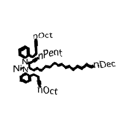 CCCCCC#CC(=Nc1ccccc1CCC#CCCCCCCCC)C(CCCCCCCCCCCCCCCCCCCCCCCCC)=[N+]([Ni])c1ccccc1CCC#CCCCCCCCC